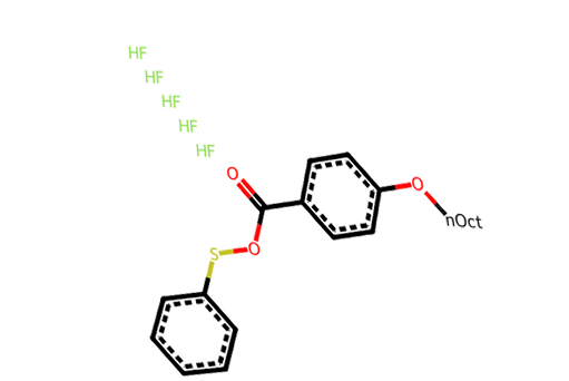 CCCCCCCCOc1ccc(C(=O)OSc2ccccc2)cc1.F.F.F.F.F